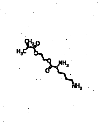 C=C(C)C(=O)OCCOC(=O)[C@H](N)CCCCN